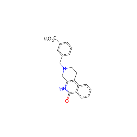 O=C(O)c1cccc(CN2CCc3c([nH]c(=O)c4ccccc34)C2)c1